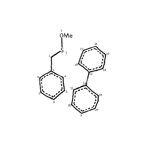 COSCc1ccccc1.c1ccc(-c2ccccc2)cc1